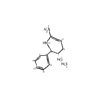 Cl.Cl.NC1=NCCC(c2ccncc2)N1